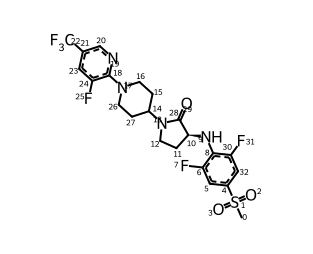 CS(=O)(=O)c1cc(F)c(N[C@H]2CCN(C3CCN(c4ncc(C(F)(F)F)cc4F)CC3)C2=O)c(F)c1